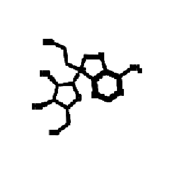 Nc1ncnc2c1N=C[N+]2(CCO)[C@@H]1O[C@H](CO)[C@@H](O)[C@H]1O